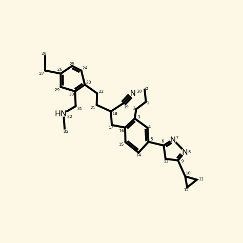 CCCc1cc(C2=NN=C(C3CC3)C2)ccc1CC(C#N)CCc1ccc(CC)cc1CNC